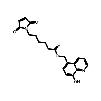 O=C(CCCCCN1C(=O)C=CC1=O)OCc1ccc(O)c2ncccc12